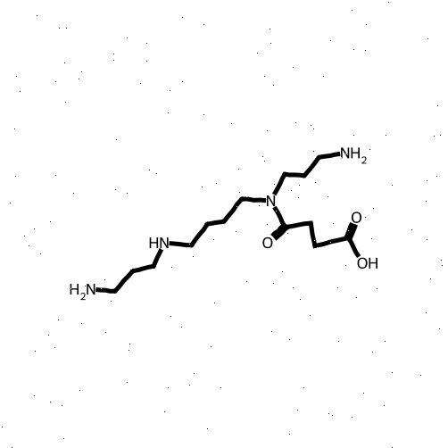 NCCCNCCCCN(CCCN)C(=O)CCC(=O)O